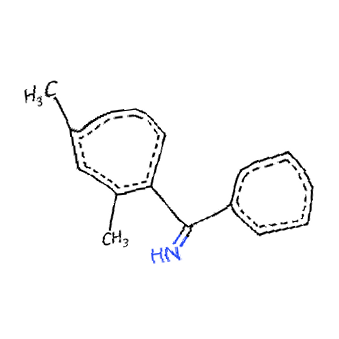 Cc1ccc(C(=N)c2ccccc2)c(C)c1